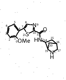 COc1ccccc1-c1cnc(C(=O)NC2CC3CNC2C3)s1